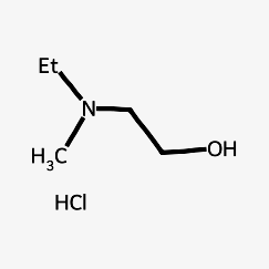 CCN(C)CCO.Cl